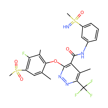 Cc1cc(S(C)(=O)=O)c(F)c(C)c1Oc1nnc(C(F)(F)F)c(C)c1C(=O)Nc1cccc(S(C)(=N)=O)c1